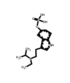 CCN(CCc1c[nH]c2ccc(OP(=O)(O)O)cc12)C(C)C